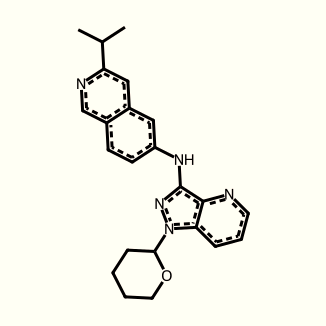 CC(C)c1cc2cc(Nc3nn(C4CCCCO4)c4cccnc34)ccc2cn1